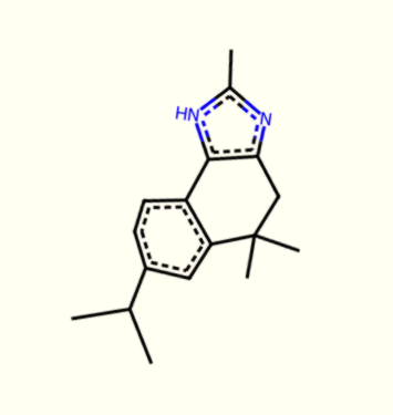 Cc1nc2c([nH]1)-c1ccc(C(C)C)cc1C(C)(C)C2